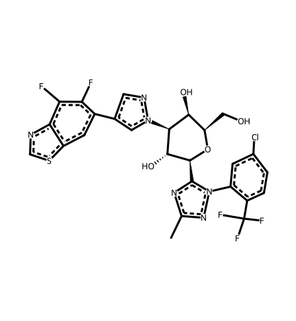 Cc1nc([C@@H]2O[C@H](CO)[C@H](O)[C@H](n3cc(-c4cc5scnc5c(F)c4F)cn3)[C@H]2O)n(-c2cc(Cl)ccc2C(F)(F)F)n1